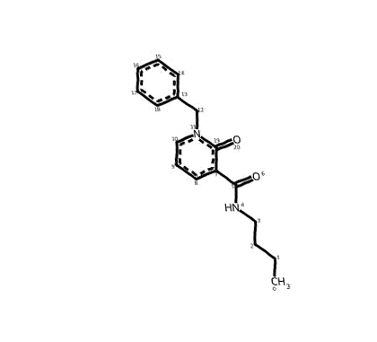 CCCCNC(=O)c1cccn(Cc2ccccc2)c1=O